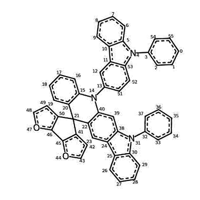 c1ccc(-n2c3ccccc3c3cc(N4c5ccccc5C5(c6cc7c8ccccc8n(-c8ccccc8)c7cc64)c4ccoc4-c4occc45)ccc32)cc1